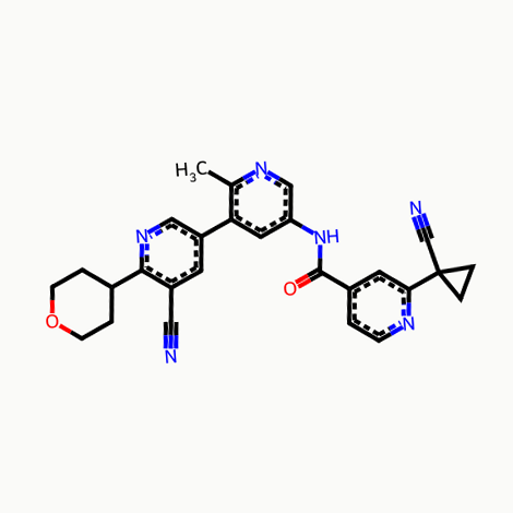 Cc1ncc(NC(=O)c2ccnc(C3(C#N)CC3)c2)cc1-c1cnc(C2CCOCC2)c(C#N)c1